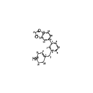 C1=C(Cc2cccc(-c3ccc4c(c3)OCO4)c2)CCNC1